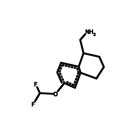 NCC1CCCc2cc(OC(F)F)ccc21